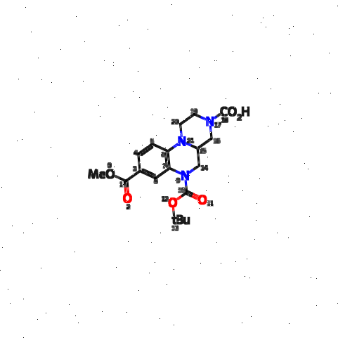 COC(=O)c1ccc2c(c1)N(C(=O)OC(C)(C)C)CC1CN(C(=O)O)CCN21